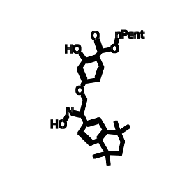 CCCCCOC(=O)c1ccc(OC/C(=N/O)c2ccc3c(c2)C(C)(C)CCC3(C)C)cc1O